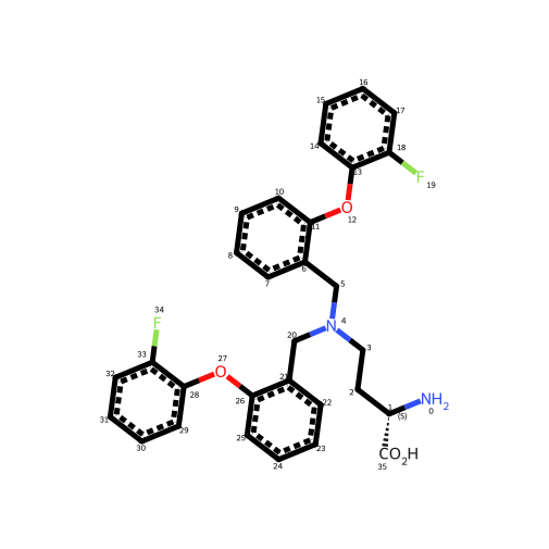 N[C@@H](CCN(Cc1ccccc1Oc1ccccc1F)Cc1ccccc1Oc1ccccc1F)C(=O)O